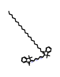 CCCCCCCCCCCCCCCCCCCCCC[N+]1=C(/C=C/C=C/C=C2/N(C)c3ccccc3C2(C)C)C(C)(C)c2ccccc21